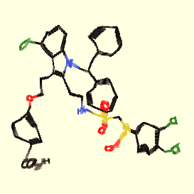 O=C(O)c1ccc(OCCc2c(CCNS(=O)(=O)C[S+]([O-])c3ccc(Cl)c(Cl)c3)n(C(c3ccccc3)c3ccccc3)c3cccc(Cl)c23)cc1